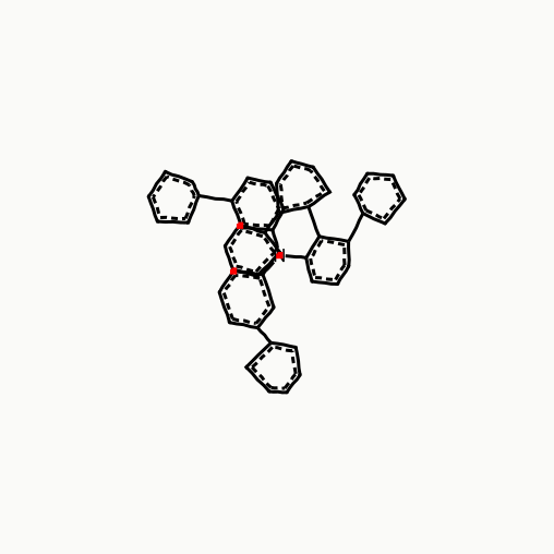 c1ccc(-c2cccc(N(c3cccc(-c4ccccc4)c3)c3cccc(-c4ccccc4)c3-c3ccccc3-c3ccccc3)c2)cc1